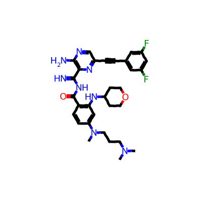 CN(C)CCCN(C)c1ccc(C(=O)NC(=N)c2nc(C#Cc3cc(F)cc(F)c3)cnc2N)c(NC2CCOCC2)c1